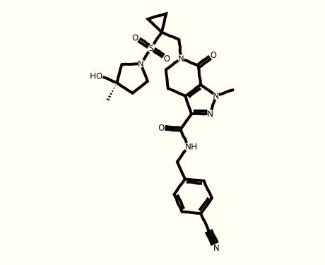 Cn1nc(C(=O)NCc2ccc(C#N)cc2)c2c1C(=O)N(CC1(S(=O)(=O)N3CC[C@@](C)(O)C3)CC1)CC2